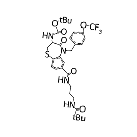 CC(C)(C)OC(=O)N[C@H]1CSc2ccc(C(=O)NCCCNC(=O)C(C)(C)C)cc2N(Cc2ccc(OC(F)(F)F)cc2)C1=O